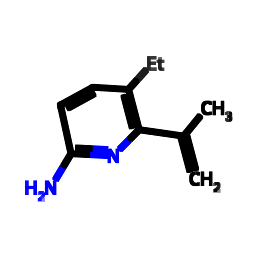 C=C(C)c1nc(N)ccc1CC